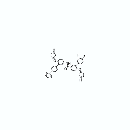 O=C(Nc1ccc(O[C@H]2CCNC2)c(-c2ccc(C3=NCN=N3)cc2)c1)c1ccc(O[C@H]2CCNC2)c(-c2ccc(F)c(F)c2)c1